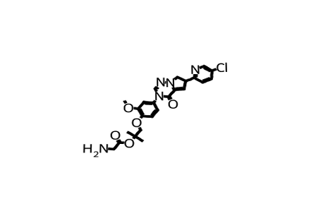 COc1cc(N2C=NN3CC(c4ccc(Cl)cn4)C=C3C2=O)ccc1OCC(C)(C)OC(=O)CN